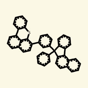 c1ccc(C2(c3cccc(-c4ccc5cccc6c5c4Sc4ccccc4-6)c3)c3ccccc3-c3c2ccc2ccccc32)cc1